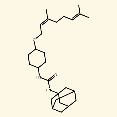 CC(C)=CCCC(C)=CCOC1CCC(NC(=O)NC23CC4CC(CC(C4)C2)C3)CC1